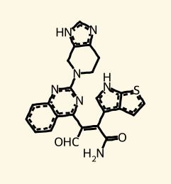 NC(=O)/C(=C(\C=O)c1nc(N2CCc3nc[nH]c3C2)nc2ccccc12)c1c[nH]c2sccc12